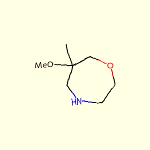 COC1(C)CNCCOC1